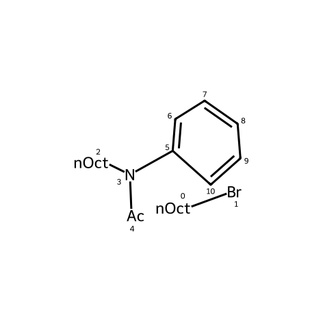 CCCCCCCCBr.CCCCCCCCN(C(C)=O)c1ccccc1